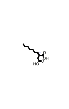 CCCCCC/C=C(\CC(=O)O)C(=O)O